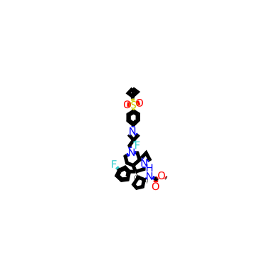 COC(=O)N[C@H]1CCC[C@@H]1C(CN1CCC1)(c1cccc(F)c1)C1CCN(CC2(F)CN(c3ccc(S(=O)(=O)C45CC(C4)C5)cc3)C2)CC1